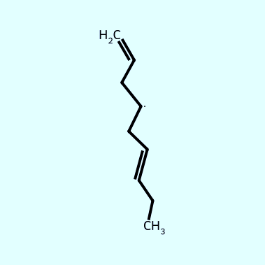 C=CC[CH]CC=CCC